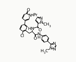 CC(C)n1cc(-c2ccc(Cl)c(CC(NC(=O)c3ccnn3C)C(=O)Nc3ccc(-c4ncnn4C)cc3)c2)ccc1=O